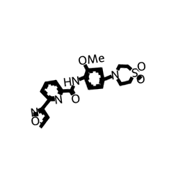 COc1cc(N2CCS(=O)(=O)CC2)ccc1NC(=O)c1cccc(-c2ccon2)n1